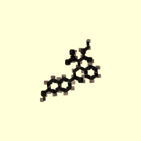 CCOC(=O)C(C(CC(=O)c1ccc2cc(OC)ccc2c1)c1ccccc1)[N+](=O)[O-]